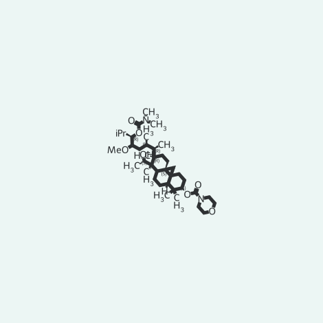 COC(C[C@@H](C)[C@@H](C)[C@@]1(C)CC[C@@]23CC24CC[C@H](OC(=O)N2CCOCC2)C(C)(C)[C@@H]4CCC3[C@]1(C)[C@H](C)O)[C@H](OC(=O)N(C)C)C(C)C